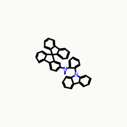 CN(c1ccc2c(c1)C1(c3ccccc3-c3ccccc31)c1ccccc1-2)c1ccccc1-n1c2ccccc2c2ccccc21